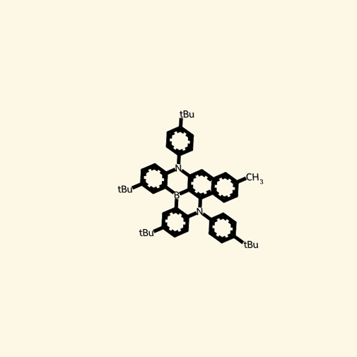 Cc1ccc2c3c4c(cc2c1)N(c1ccc(C(C)(C)C)cc1)c1ccc(C(C)(C)C)cc1B4c1cc(C(C)(C)C)ccc1N3c1ccc(C(C)(C)C)cc1